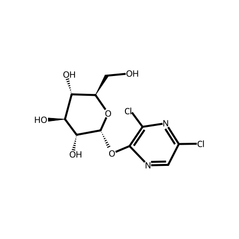 OC[C@H]1O[C@H](Oc2ncc(Cl)nc2Cl)[C@H](O)[C@@H](O)[C@@H]1O